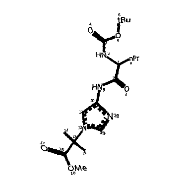 CCCC(NC(=O)OC(C)(C)C)C(=O)Nc1cn(C(C)(C)C(=O)OC)cn1